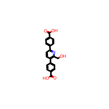 O=C(O)c1ccc(-c2ccc(-c3ccc(C(=O)O)cc3)c(CO)n2)cc1